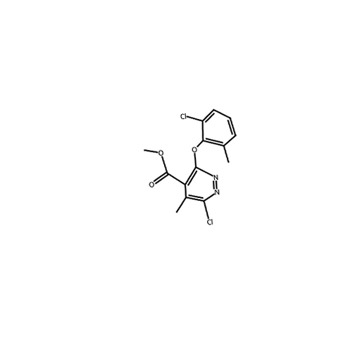 COC(=O)c1c(Oc2c(C)cccc2Cl)nnc(Cl)c1C